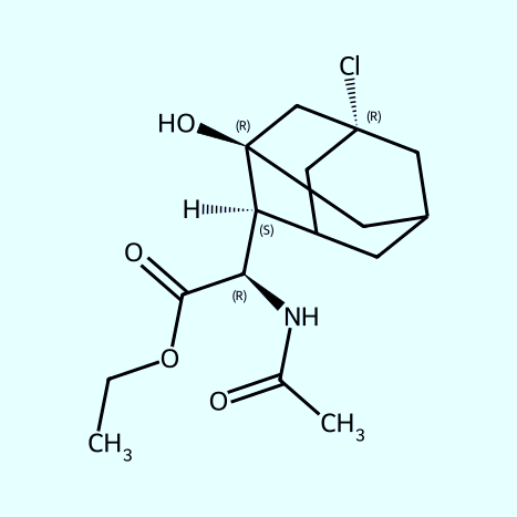 CCOC(=O)[C@H](NC(C)=O)[C@@H]1C2CC3C[C@@](Cl)(C2)C[C@]1(O)C3